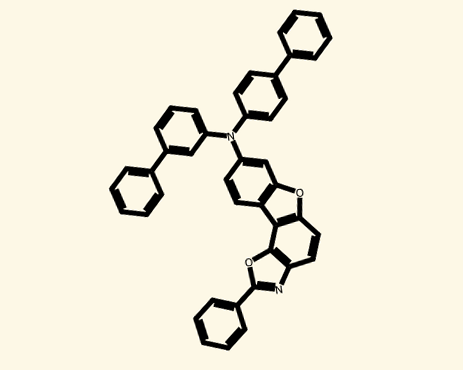 c1ccc(-c2ccc(N(c3cccc(-c4ccccc4)c3)c3ccc4c(c3)oc3ccc5nc(-c6ccccc6)oc5c34)cc2)cc1